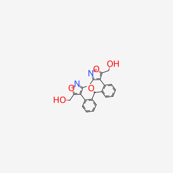 Cc1noc(CO)c1-c1ccccc1C(=O)c1ccccc1-c1c(C)noc1CO